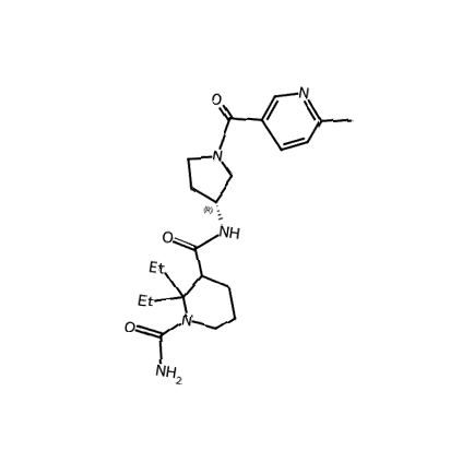 CCC1(CC)C(C(=O)N[C@@H]2CCN(C(=O)c3ccc(C)nc3)C2)CCCN1C(N)=O